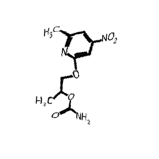 Cc1cc([N+](=O)[O-])cc(OCC(C)OC(N)=O)n1